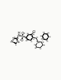 O=S(=O)(Nc1ncns1)c1ccc(CN2CCCC[C@H]2c2ccccc2)c(Cl)c1